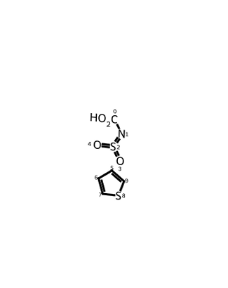 O=C(O)N=S(=O)=O.c1ccsc1